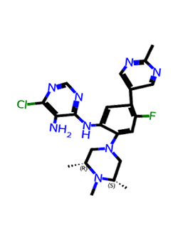 Cc1ncc(-c2cc(Nc3ncnc(Cl)c3N)c(N3C[C@@H](C)N(C)[C@@H](C)C3)cc2F)cn1